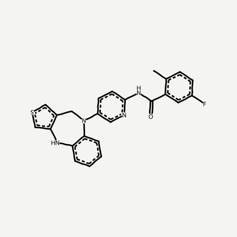 Cc1ccc(F)cc1C(=O)Nc1ccc(N2Cc3cscc3Nc3ccccc32)cn1